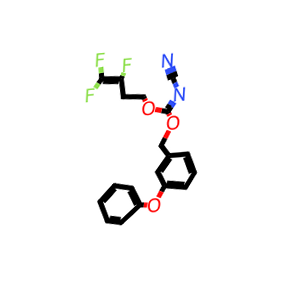 N#CN=C(OCCC(F)=C(F)F)OCc1cccc(Oc2ccccc2)c1